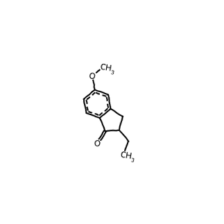 CCC1Cc2cc(OC)ccc2C1=O